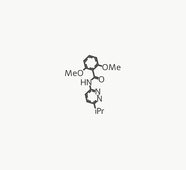 COc1cccc(OC)c1C(=O)Nc1ccc(C(C)C)nn1